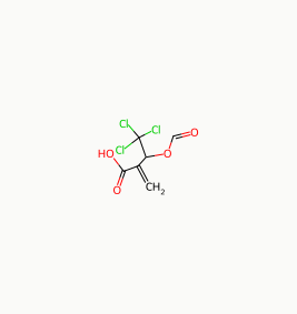 C=C(C(=O)O)C(OC=O)C(Cl)(Cl)Cl